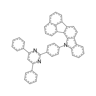 c1ccc(-c2cc(-c3ccccc3)nc(-c3ccc(-n4c5ccccc5c5ccc6c(c54)-c4cccc5cccc-6c45)cc3)n2)cc1